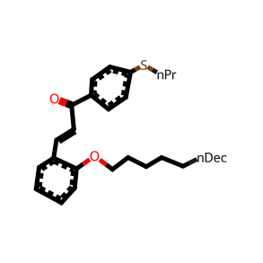 CCCCCCCCCCCCCCCOc1ccccc1/C=C/C(=O)c1ccc(SCCC)cc1